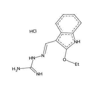 CCOc1[nH]c2ccccc2c1/C=N/NC(=N)N.Cl